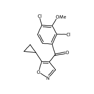 COc1c(Cl)ccc(C(=O)c2cnoc2C2CC2)c1Cl